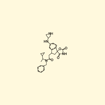 CC(C1CC1)N(Cc1ccccc1)C(=O)CC1CC2(OC(=O)NC2=O)c2ccc(NC3CNC3)cc21